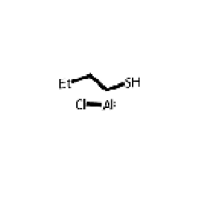 CCCCS.[Al][Cl]